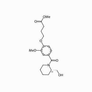 COC(=O)CCCOc1ccc(C(=O)N2CCCC[C@H]2CO)cc1OC